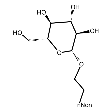 CCCCCCCCCCCO[C@@H]1O[C@H](CO)[C@@H](O)[C@H](O)[C@H]1O